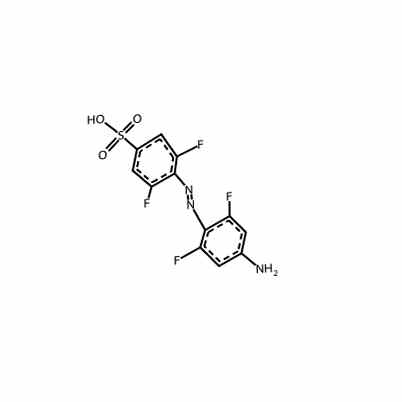 Nc1cc(F)c(/N=N/c2c(F)cc(S(=O)(=O)O)cc2F)c(F)c1